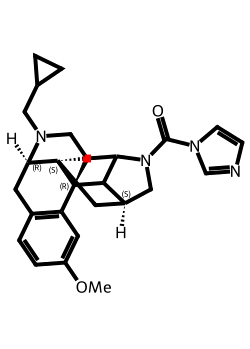 COc1ccc2c(c1)[C@]13CCN(CC4CC4)[C@H](C2)[C@]12CCC1C3[C@@H](CN1C(=O)n1ccnc1)C2